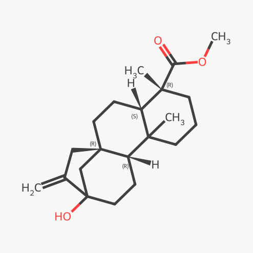 C=C1C[C@@]23CC[C@H]4C(C)(CCC[C@@]4(C)C(=O)OC)[C@@H]2CCC1(O)C3